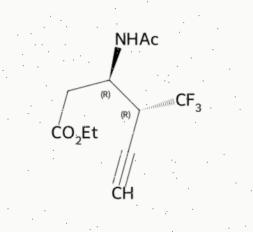 C#C[C@H]([C@@H](CC(=O)OCC)NC(C)=O)C(F)(F)F